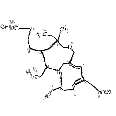 CCCCCc1cc(O)c2c(c1)OC(C)(C)C(CC[C]=O)C2C